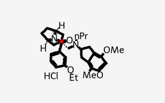 CCCN(C[C@@H]1C[C@H]2CC[C@@H](C1)N2C(=O)c1cccc(OCC)c1)C1Cc2c(OC)ccc(OC)c2C1.Cl